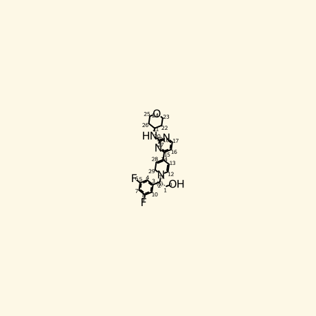 OC[C@H](c1cc(F)cc(F)c1)N1C=CC(c2ccnc(NC3CCOCC3)n2)=CC1